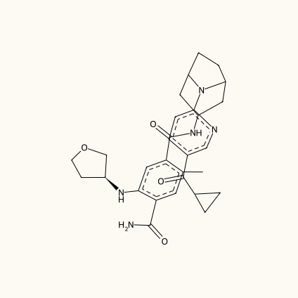 Cc1cc(C(N)=O)c(N[C@H]2CCOC2)cc1C(=O)NC1CC2CCC(C1)N2c1ccc(C(=O)C2CC2)cn1